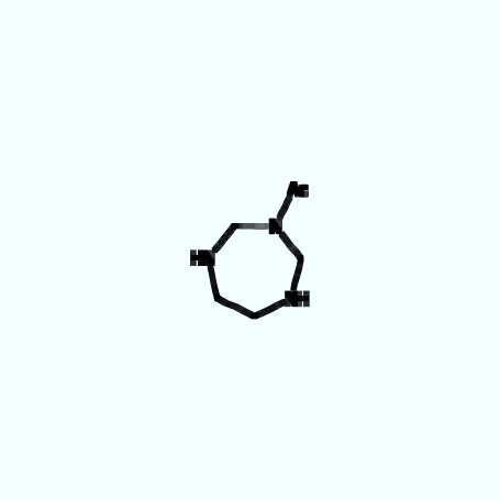 CC(=O)N1CNCCNC1